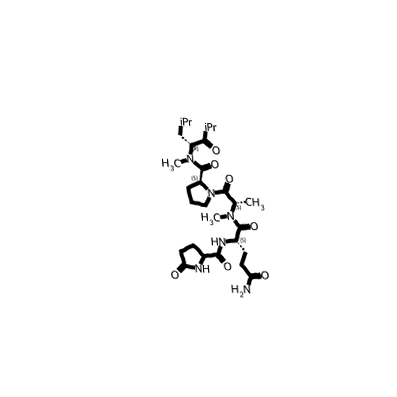 CC(C)C[C@H](C(=O)C(C)C)N(C)C(=O)[C@@H]1CCCN1C(=O)[C@H](C)N(C)C(=O)[C@H](CCC(N)=O)NC(=O)C1CCC(=O)N1